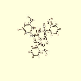 COc1nc(C)nc(NC(NS(=O)(=O)c2ccccc2SC)=[N+](OC)S(=O)(=O)c2ccccc2SC)n1